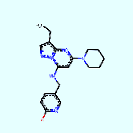 CCc1cnn2c(NCc3ccc(O)nc3)cc(N3CCCCC3)nc12